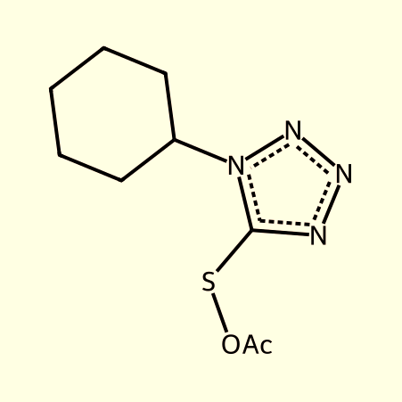 CC(=O)OSc1nnnn1C1CCCCC1